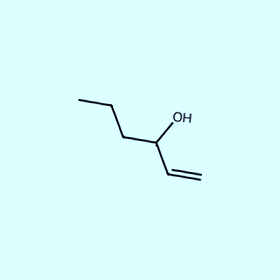 C=C[C](O)CCC